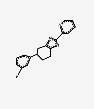 Fc1cccc(C2CCc3oc(-c4ccccn4)nc3C2)c1